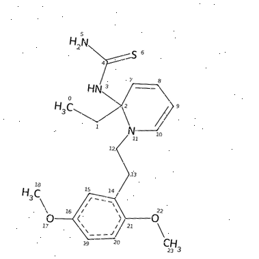 CCC1(NC(N)=S)C=CC=CN1CCc1cc(OC)ccc1OC